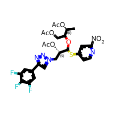 CC(=O)OCC(OC(Sc1ccnc([N+](=O)[O-])c1)[C@H](Cn1cc(-c2cc(F)c(F)c(F)c2)nn1)OC(C)=O)[C@@H](C)OC(C)=O